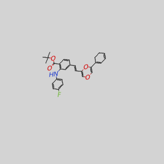 CC(C)(C)OC(=O)c1ccc(C=CC2=COC=C(C3=CC=CCC3)O2)cc1Nc1ccc(F)cc1